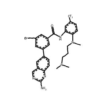 CN(C)CCCN(C)c1ccc(C(F)(F)F)cc1NC(=O)c1cc(Br)cc(-c2ccc3nc(N)ncc3c2)c1